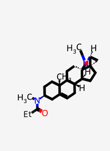 CCC(=O)N(C)[C@H]1CC[C@@]2(C)C(=CC[C@@H]3C2CC[C@]24CN(C)[C@H]5C[C@@]52CC[C@@H]34)C1